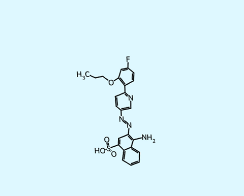 CCCOc1cc(F)ccc1-c1ccc(N=Nc2cc(S(=O)(=O)O)c3ccccc3c2N)cn1